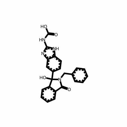 O=C(O)Nc1nc2cc(C3(O)c4ccccc4C(=O)N3Cc3ccccc3)ccc2[nH]1